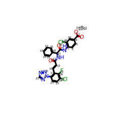 CC(C)(C)OC(=O)c1ccc(NC(=O)C(NC(=O)C=Cc2c(-n3ncnn3)ccc(Cl)c2F)c2ccccc2)c(Cl)c1